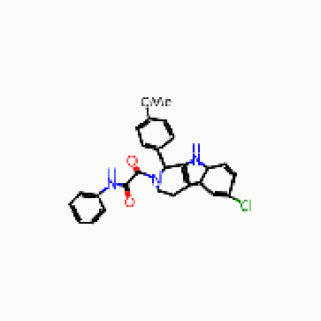 COc1ccc(C2C3=C(CCN2C(=O)C(=O)Nc2ccccc2)C2C=C(Cl)C=CC2N3)cc1